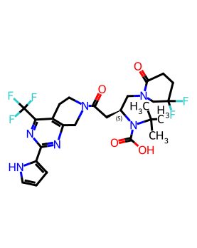 CC(C)(C)N(C(=O)O)[C@@H](CC(=O)N1CCc2c(nc(-c3ccc[nH]3)nc2C(F)(F)F)C1)CN1CC(F)(F)CCC1=O